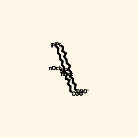 CC(C)CCCCCCCCCCCCCCC(=O)[O-].CC(C)CCCCCCCCCCCCCCC(=O)[O-].CCCCCCC[CH2][Sn+2][CH2]CCCCCCC